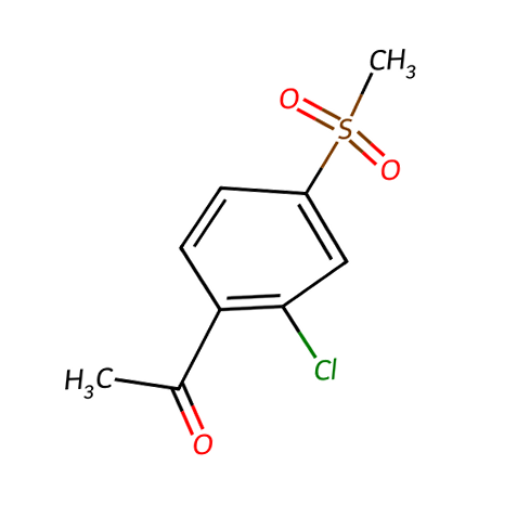 CC(=O)c1ccc(S(C)(=O)=O)cc1Cl